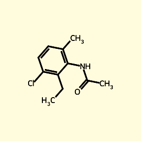 CCc1c(Cl)ccc(C)c1NC(C)=O